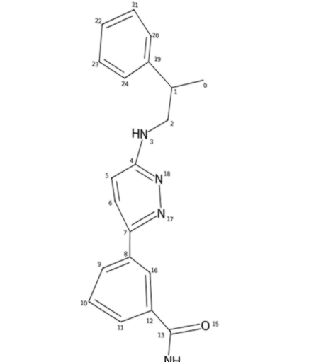 CC(CNc1ccc(-c2cccc(C(N)=O)c2)nn1)c1ccccc1